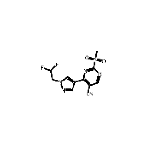 CS(=O)(=O)c1ncc(C#N)c(-c2cnn(CC(F)F)c2)n1